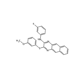 COc1cccc(Sc2nc3cc4ccccc4cc3nc2Nc2cccc(F)c2)c1